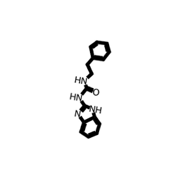 O=C(NCCc1ccccc1)Nc1nc2ccccc2[nH]1